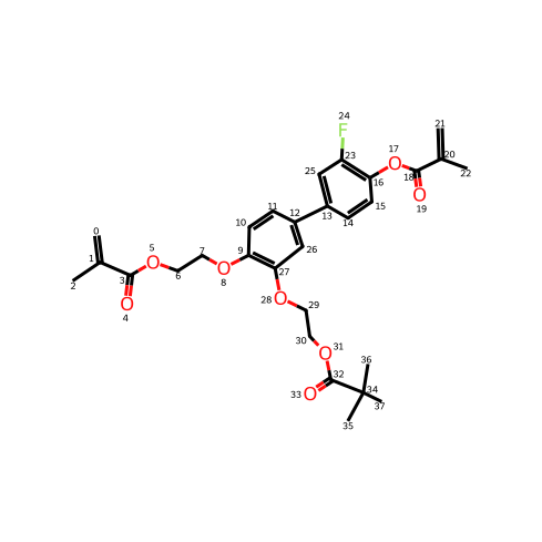 C=C(C)C(=O)OCCOc1ccc(-c2ccc(OC(=O)C(=C)C)c(F)c2)cc1OCCOC(=O)C(C)(C)C